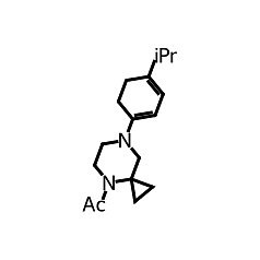 CC(=O)N1CCN(C2=CC=C(C(C)C)CC2)CC12CC2